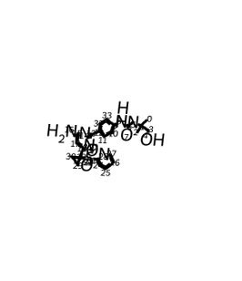 CC(C)(CO)NC(=O)Nc1ccc(-c2nc(N)cc(C3(S(=O)(=O)c4ccccn4)CC3)n2)cc1